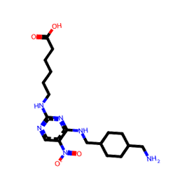 NCC1CCC(CNc2nc(NCCCCCC(=O)O)ncc2[N+](=O)[O-])CC1